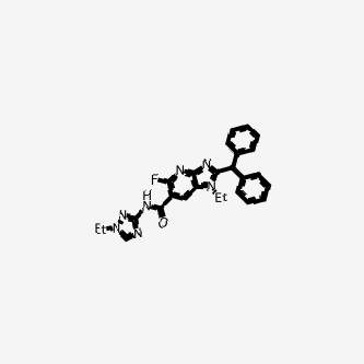 CCn1cnc(NC(=O)c2cc3c(nc2F)nc(C(c2ccccc2)c2ccccc2)n3CC)n1